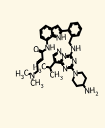 CC(C)c1cnn2c(NCc3ccccc3-c3cc4cccc(NC(=O)/C=C/CN(C)C)c4[nH]3)nc(N3CCC(N)CC3)nc12